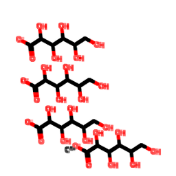 O=C([O-])C(O)C(O)C(O)C(O)CO.O=C([O-])C(O)C(O)C(O)C(O)CO.O=C([O-])C(O)C(O)C(O)C(O)CO.O=C([O-])C(O)C(O)C(O)C(O)CO.[C+4]